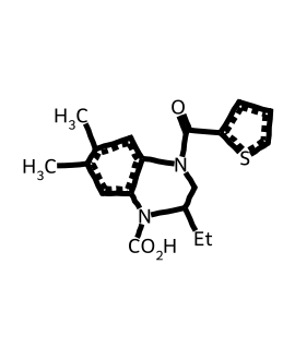 CCC1CN(C(=O)c2cccs2)c2cc(C)c(C)cc2N1C(=O)O